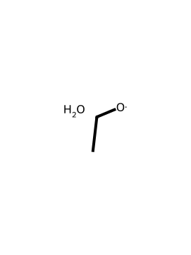 CC[O].O